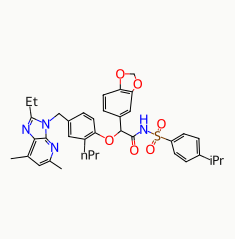 CCCc1cc(Cn2c(CC)nc3c(C)cc(C)nc32)ccc1OC(C(=O)NS(=O)(=O)c1ccc(C(C)C)cc1)c1ccc2c(c1)OCO2